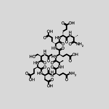 CC(=O)N[C@H](CO)C(=O)N[C@H](CCC(=O)O)C(=O)N[C@H](CC(=O)O)C(=O)N[C@H](CCC(N)=O)C(=O)N[C@H](C)C(=O)N[C@H](CCC(=O)O)C(=O)N[C@H](CCC(=O)O)C(=O)N[C@H](CCC(=O)O)C(=O)N[C@H](C)C(N)=O